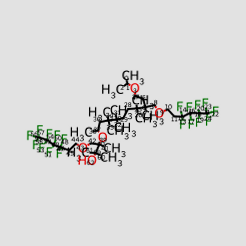 CC(C)OCCC(C)(COCCC(F)(F)C(F)(F)C(F)(F)C(F)(F)F)C(C)(C)CCC(C)(C)C(C)(C)CC(C)OC(C)(COCCC(F)(F)C(F)(F)C(F)(F)C(F)(F)F)C(C)(C)O